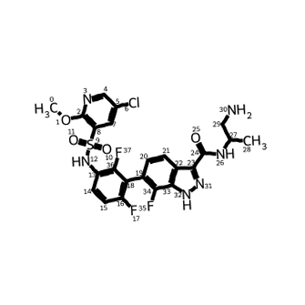 COc1ncc(Cl)cc1S(=O)(=O)Nc1ccc(F)c(-c2ccc3c(C(=O)NC(C)CN)n[nH]c3c2F)c1F